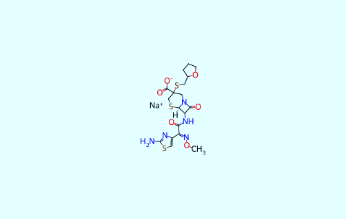 CON=C(C(=O)NC1C(=O)N2CC(SCC3CCCO3)(C(=O)[O-])CS[C@H]12)c1csc(N)n1.[Na+]